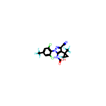 N#Cc1nn(-c2c(Cl)cc(C(F)(F)F)cc2Cl)c(NC(=O)O)c1C1(C(F)(F)F)CC1(F)F